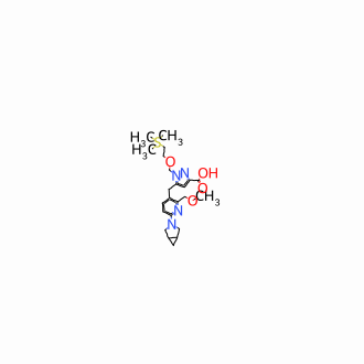 COCc1nc(N2CC3CC3C2)ccc1Cc1cc(C(=O)O)nn1COCCS(C)(C)C